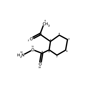 CC(=O)C1CCCCC1C(=O)ON